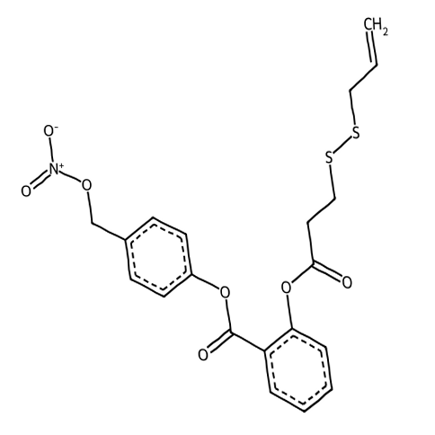 C=CCSSCCC(=O)Oc1ccccc1C(=O)Oc1ccc(CO[N+](=O)[O-])cc1